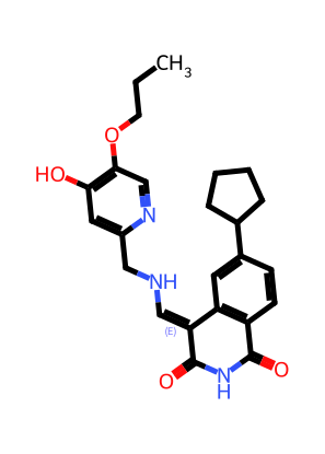 CCCOc1cnc(CN/C=C2/C(=O)NC(=O)c3ccc(C4CCCC4)cc32)cc1O